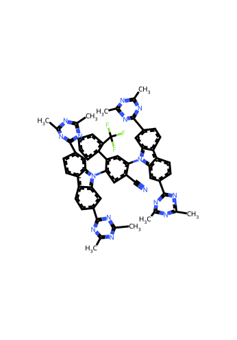 Cc1nc(C)nc(-c2ccc3c4ccc(-c5nc(C)nc(C)n5)cc4n(-c4cc(-c5ccccc5C(F)(F)F)c(-n5c6cc(-c7nc(C)nc(C)n7)ccc6c6ccc(-c7nc(C)nc(C)n7)cc65)cc4C#N)c3c2)n1